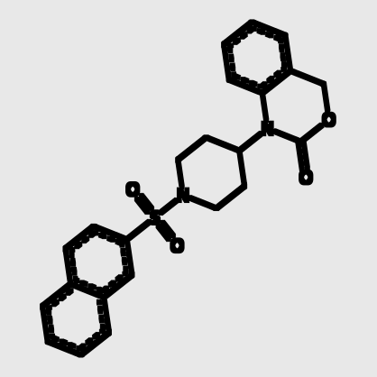 O=C1OCc2ccccc2N1C1CCN(S(=O)(=O)c2ccc3ccccc3c2)CC1